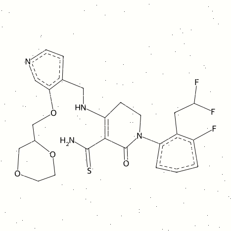 NC(=S)C1=C(NCc2ccncc2OCC2COCCO2)CCN(c2cccc(F)c2CC(F)F)C1=O